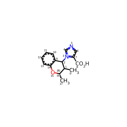 CC1C(n2cncc2C(=O)O)c2ccccc2O[C@@H]1C